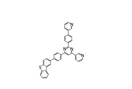 c1cncc(-c2ccc(-c3nc(-c4ccc(-c5ccc6sc7ccccc7c6c5)cc4)cc(-c4cccnc4)n3)cc2)c1